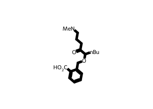 CCCCC(OCc1ccccc1C(=O)O)C(=O)CCCNC